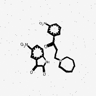 O=C(CCN1CCCCCC1)c1cccc([N+](=O)[O-])c1.O=C1Nc2ccc([N+](=O)[O-])cc2C1=O